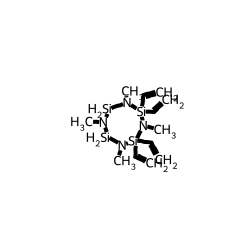 C=C[Si]1(C=C)N(C)[SiH2]N(C)[SiH2]N(C)[Si](C=C)(C=C)N1C